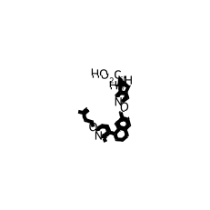 C=C(C)CCOc1ccc(C2CCCc3ccc(COc4cc5c(cn4)[C@H]4[C@@H](C5)[C@@H]4C(=O)O)cc32)c(C)n1